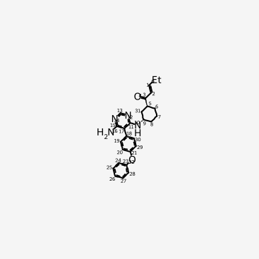 CC/C=C/C(=O)[C@H]1CCC[C@H](Nc2ncnc(N)c2-c2ccc(Oc3ccccc3)cc2)C1